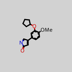 COc1ccc(C2=CC(=O)N=C2)cc1OC1CCCC1